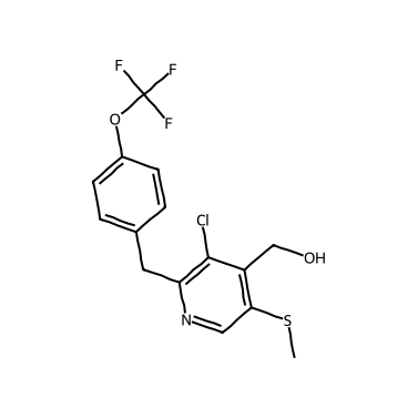 CSc1cnc(Cc2ccc(OC(F)(F)F)cc2)c(Cl)c1CO